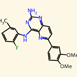 COc1ccc(-c2ccc3nc(N)nc(Nc4cc(C)ccc4F)c3n2)cc1OC